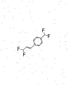 FC(F)C=Cc1ccc(C(F)F)cc1